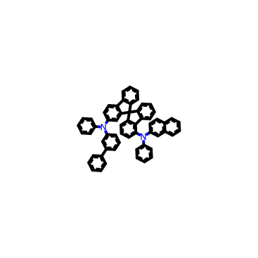 c1ccc(-c2cccc(N(c3ccccc3)c3ccc4c(c3)C3(c5ccccc5-4)c4ccccc4-c4c(N(c5ccccc5)c5ccc6ccccc6c5)cccc43)c2)cc1